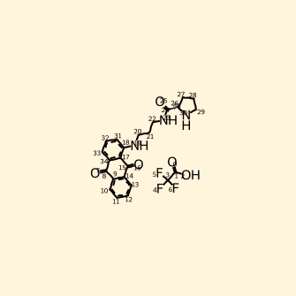 O=C(O)C(F)(F)F.O=C1c2ccccc2C(=O)c2c(NCCCNC(=O)[C@H]3CCCN3)cccc21